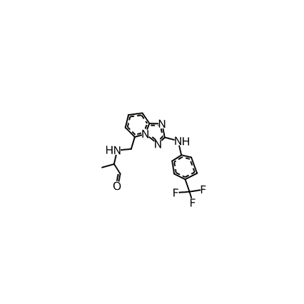 CC(C=O)NCc1cccc2nc(Nc3ccc(C(F)(F)F)cc3)nn12